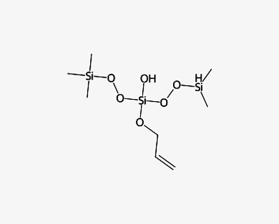 C=CCO[Si](O)(OO[SiH](C)C)OO[Si](C)(C)C